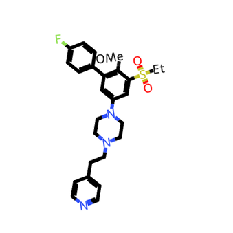 CCS(=O)(=O)c1cc(N2CCN(CCc3ccncc3)CC2)cc(-c2ccc(F)cc2)c1OC